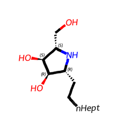 CCCCCCCCC[C@H]1N[C@@H](CO)[C@H](O)[C@@H]1O